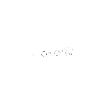 CCC(C(=O)O)(c1ccc(N=Nc2ccc(OC)cc2)cc1)[Si](OC)(OC)OC